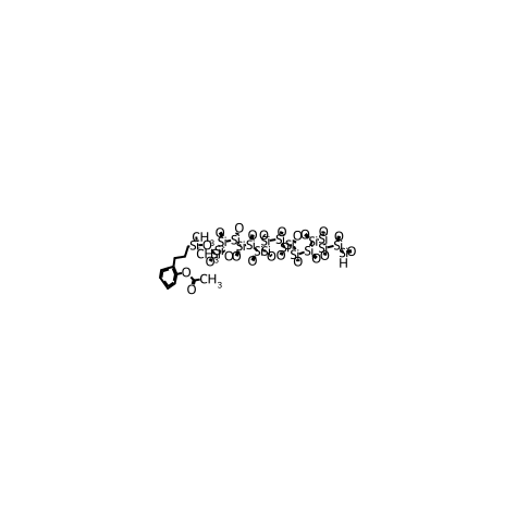 CC(=O)Oc1ccccc1CCC[Si](C)(C)O[Si](=O)[Si](=O)[Si](=O)[Si](=O)[Si](=O)[Si](=O)[Si](=O)[Si](=O)[Si](=O)[Si](=O)[Si](=O)[Si](=O)[Si](=O)[Si](=O)[Si](=O)[Si](=O)[Si](=O)[Si](=O)[SiH]=O